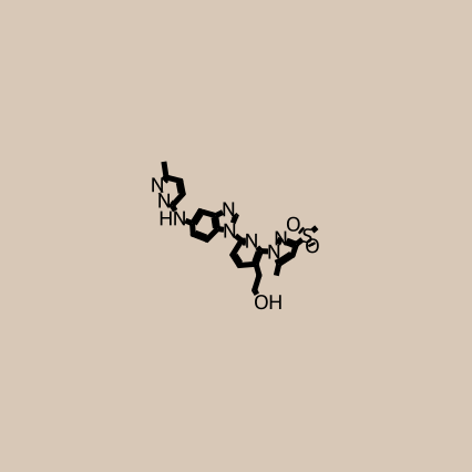 Cc1ccc(Nc2ccc3c(c2)ncn3-c2ccc(CCO)c(-n3nc(S(C)(=O)=O)cc3C)n2)nn1